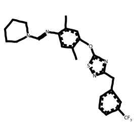 Cc1cc(Oc2nc(Cc3cccc(C(F)(F)F)c3)ns2)c(C)cc1N=CN1CCCCC1